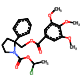 COc1cc(C(=O)OCC2(c3ccccc3)CCCN2C(=O)OC(C)Cl)cc(OC)c1OC